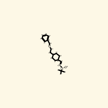 CC(C)(C)[S+]([O-])/N=C/C1CCC(CCOCc2ccccc2)CC1